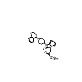 CNC(=O)Cn1c(=O)n(C2CCN(C3CCCc4ccccc43)CC2)c2ccccc21